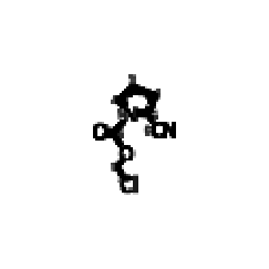 N#Cc1cccn1C(=O)OCCl